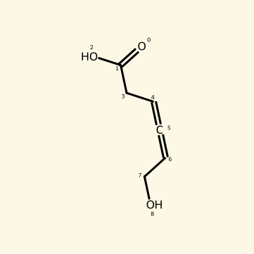 O=C(O)CC=C=CCO